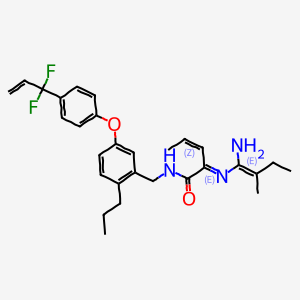 C=CC(F)(F)c1ccc(Oc2ccc(CCC)c(CNC(=O)C(/C=C\C)=N/C(N)=C(\C)CC)c2)cc1